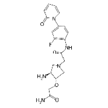 NC(=O)CO[C@H]1CN(CC(=O)Nc2ccc(-n3ccccc3=O)cc2F)C[C@@H]1N